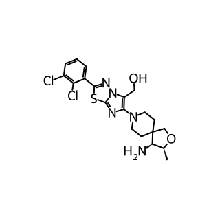 C[C@@H]1OCC2(CCN(c3nc4sc(-c5cccc(Cl)c5Cl)nn4c3CO)CC2)[C@@H]1N